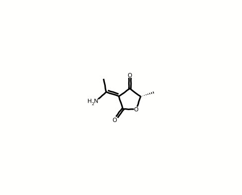 CC(N)=C1C(=O)O[C@@H](C)C1=O